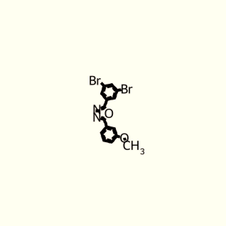 COc1cccc(-c2nnc(-c3cc(Br)cc(Br)c3)o2)c1